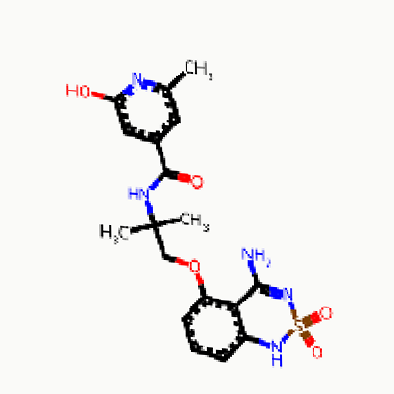 Cc1cc(C(=O)NC(C)(C)COc2cccc3c2C(N)=NS(=O)(=O)N3)cc(O)n1